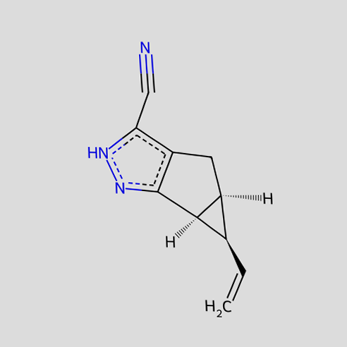 C=C[C@@H]1[C@@H]2Cc3c(n[nH]c3C#N)[C@H]12